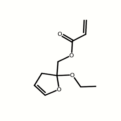 C=CC(=O)OCC1(OCC)CC=CO1